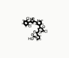 O=C(C(Cl)Cl)C(CCC(=O)C1CCCN1C(=O)O)c1ccnc(-c2cc(-c3c(Cl)cccc3Cl)no2)c1